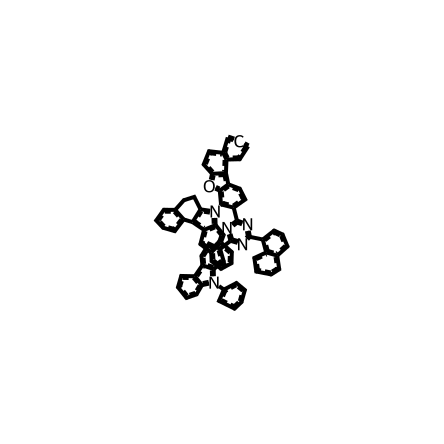 c1ccc(-n2c3ccccc3c3ccc(-c4nc(-c5ccc6c(oc7ccc8ccccc8c76)c5-n5c6c(c7cc8ccccc8cc75)-c5ccccc5CC6)nc(-c5cccc6ccccc56)n4)cc32)cc1